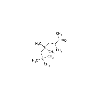 CC(=O)C(C)C[Si](C)(C)C[Si](C)(C)C